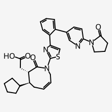 O=C(O)C[C@@H]1C(=O)N(c2nc(-c3ccccc3-c3ccc(N4CCCC4=O)nc3)cs2)CC=CC[C@H]1C1CCCC1